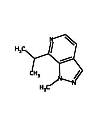 CC(C)c1nccc2cnn(C)c12